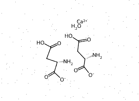 N[C@@H](CC(=O)O)C(=O)[O-].N[C@@H](CC(=O)O)C(=O)[O-].O.[Ca+2]